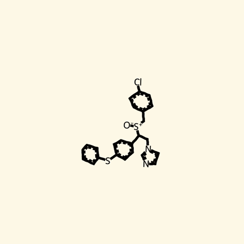 [O-][S+](Cc1ccc(Cl)cc1)C(Cn1ccnc1)c1ccc(Sc2ccccc2)cc1